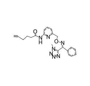 C#CCCCC(=O)Nc1cccc(CON=C(c2ccccc2)c2nnnn2C)n1